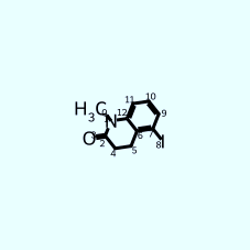 CN1C(=O)CCc2c(I)cccc21